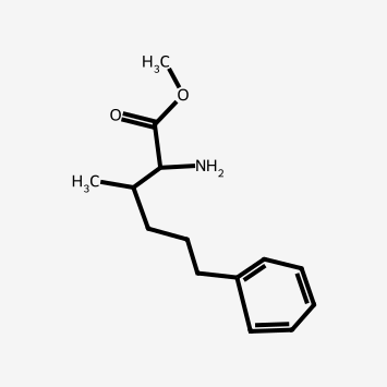 COC(=O)C(N)C(C)CCCc1ccccc1